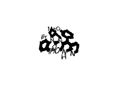 COc1cccc(-c2c(N(CC3CCCC3)C(=O)Nc3c(C(C)C)cccc3C(C)C)c(=O)[nH]c3ncccc23)c1